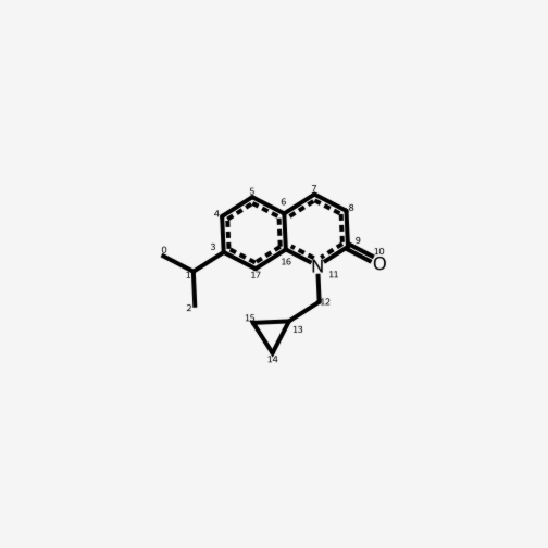 CC(C)c1ccc2ccc(=O)n(CC3CC3)c2c1